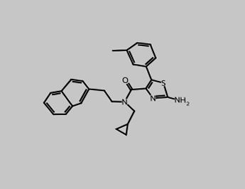 Cc1cccc(-c2sc(N)nc2C(=O)N(CCc2ccc3ccccc3c2)CC2CC2)c1